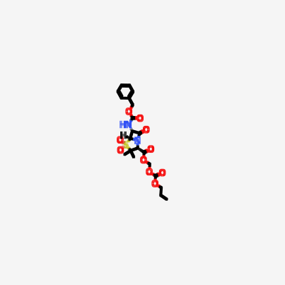 CCCOC(=O)OCOC(=O)[C@@H]1N2C(=O)[C@@H](NC(=O)OCc3ccccc3)[C@H]2S(=O)(=O)C1(C)C